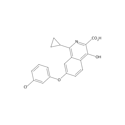 O=C(O)c1nc(C2CC2)c2cc(Oc3cccc(Cl)c3)ccc2c1O